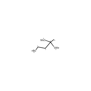 [CH2]CCCCCC(C)(SC)SC